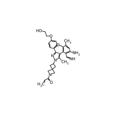 C=CC(=O)N1CC2(CC(n3nc(-c4ccc(OCCO)cc4)c(-c4c(Cl)c(C)cc(N)c4C=N)c3C)C2)C1